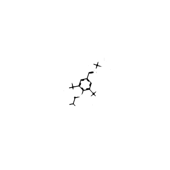 CC(C)C(=O)Oc1c(C(C)(C)C)cc(C=[N+]([O-])C(C)(C)C)cc1C(C)(C)C